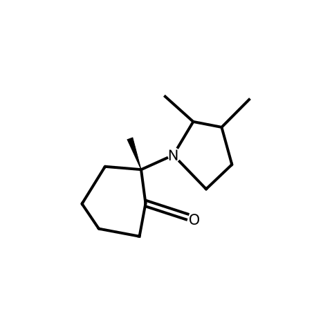 CC1CCN([C@@]2(C)CCCCC2=O)C1C